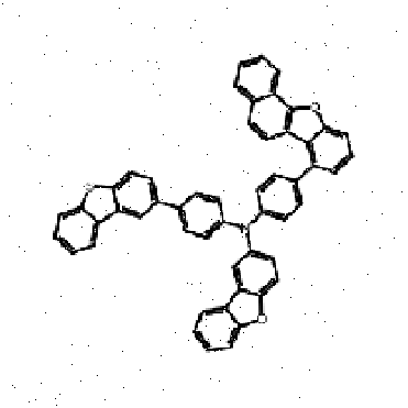 c1ccc2c(c1)ccc1c2oc2cccc(-c3ccc(N(c4ccc(-c5ccc6sc7ccccc7c6c5)cc4)c4ccc5oc6ccccc6c5c4)cc3)c21